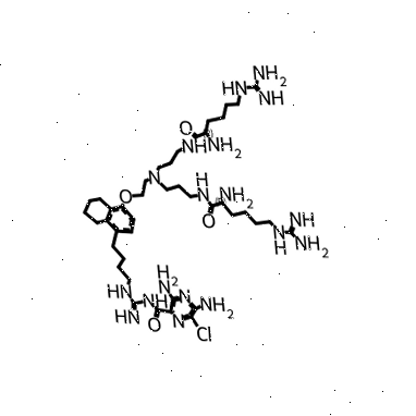 N=C(N)NCCCC[C@@H](N)C(=O)NCCCN(CCCNC(=O)[C@H](N)CCCCNC(=N)N)CCOc1ccc(CCCCNC(=N)NC(=O)c2nc(Cl)c(N)nc2N)c2c1CCCC2